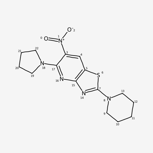 O=[N+]([O-])c1cc2sc(N3CCCCC3)nc2nc1N1CCCC1